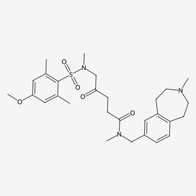 COc1cc(C)c(S(=O)(=O)N(C)CC(=O)CCC(=O)N(C)Cc2ccc3c(c2)CCN(C)CC3)c(C)c1